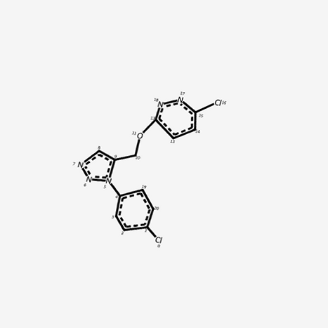 Clc1ccc(-n2nncc2COc2ccc(Cl)nn2)cc1